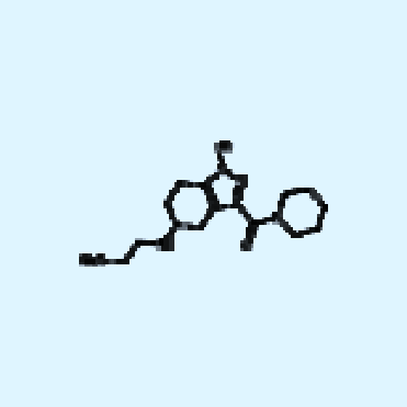 CCCn1nc(C(=O)N2CCCCC2)c2c1CCC(NCCNC)C2